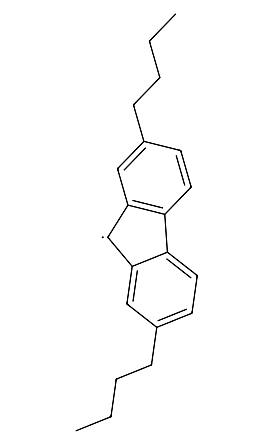 CCCCc1ccc2c(c1)[CH]c1cc(CCCC)ccc1-2